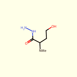 CNC(CCO)C(=O)NN